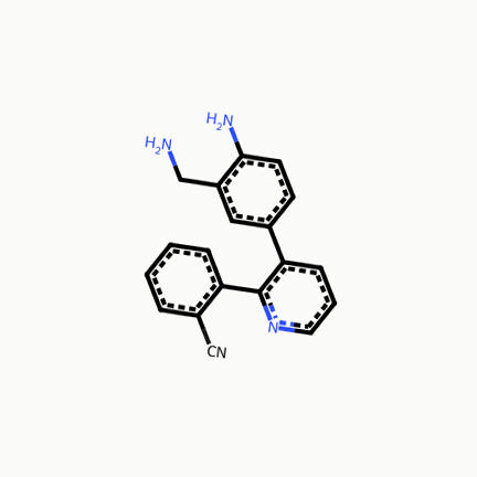 N#Cc1ccccc1-c1ncccc1-c1ccc(N)c(CN)c1